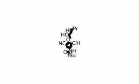 CC(C)NCC(O)COc1ccc(NC(=O)C(C)(C)C)cc1C#N.Cl